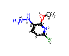 COc1nc(Br)ccc1NN